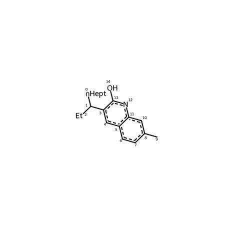 CCCCCCCC(CC)c1cc2ccc(C)cc2nc1O